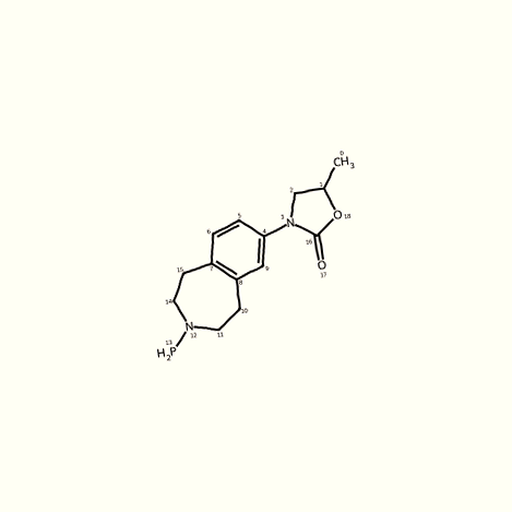 CC1CN(c2ccc3c(c2)CCN(P)CC3)C(=O)O1